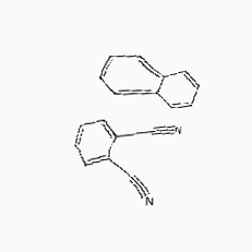 N#Cc1ccccc1C#N.c1ccc2ccccc2c1